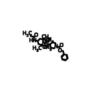 C=CC(=O)NC1CC(C)(C)N(S(=O)(=O)C2CCN(C(=O)OCc3ccccc3)CC2)C(C)(C)C1